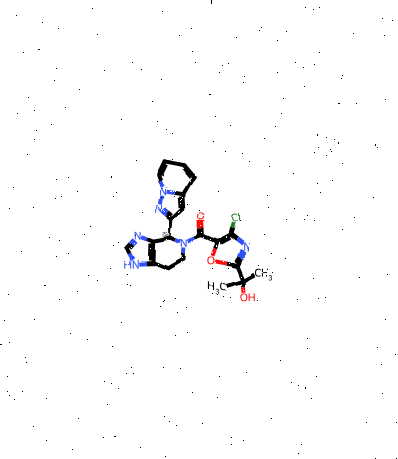 CC(C)(O)c1nc(Cl)c(C(=O)N2CCc3[nH]cnc3[C@H]2c2cc3ccccn3n2)o1